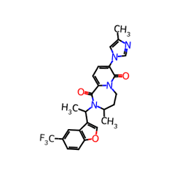 Cc1cn(-c2ccc3n(c2=O)CCC(C)N(C(C)c2coc4ccc(C(F)(F)F)cc24)C3=O)cn1